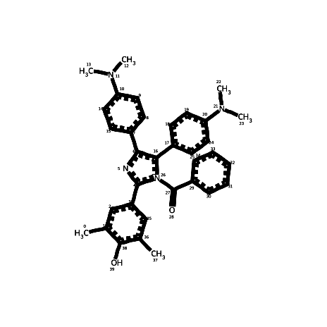 Cc1cc(-c2nc(-c3ccc(N(C)C)cc3)c(-c3ccc(N(C)C)cc3)n2C(=O)c2ccccc2)cc(C)c1O